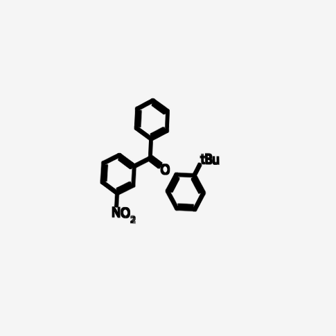 CC(C)(C)c1ccccc1.O=C(c1ccccc1)c1cccc([N+](=O)[O-])c1